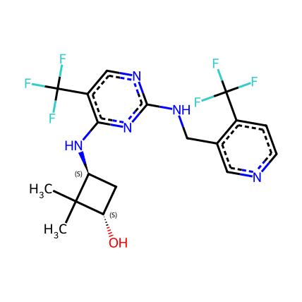 CC1(C)[C@@H](Nc2nc(NCc3cnccc3C(F)(F)F)ncc2C(F)(F)F)C[C@@H]1O